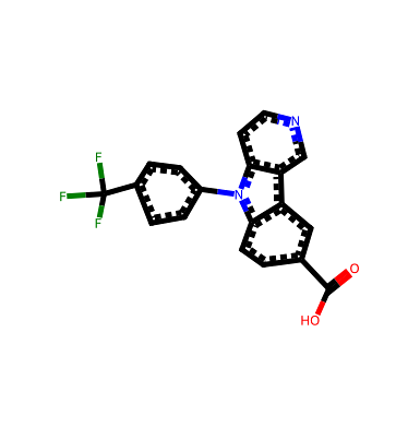 O=C(O)c1ccc2c(c1)c1cnccc1n2-c1ccc(C(F)(F)F)cc1